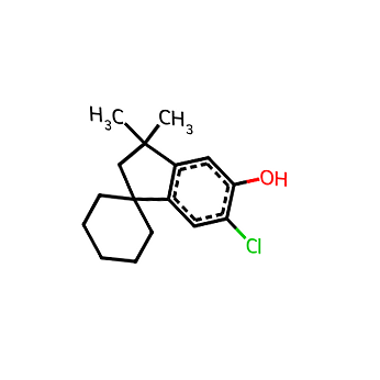 CC1(C)CC2(CCCCC2)c2cc(Cl)c(O)cc21